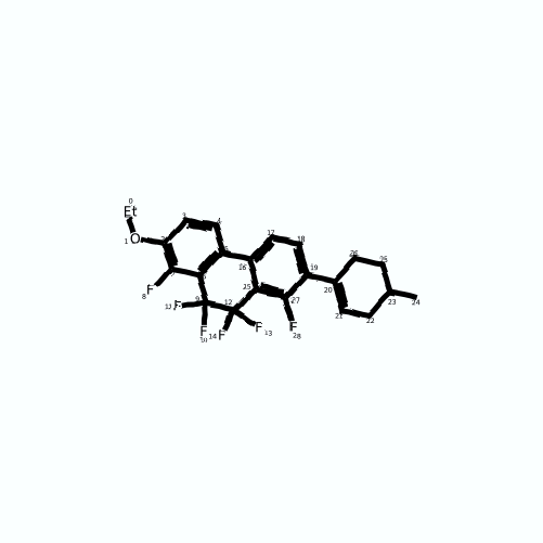 CCOc1ccc2c(c1F)C(F)(F)C(F)(F)c1c-2ccc(C2=CCC(C)CC2)c1F